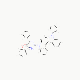 c1ccc(-c2nc(-n3c4ccccc4c4c5c6ccccc6n(-c6ccccc6)c5ccc43)nc3c2oc2ccccc23)cc1